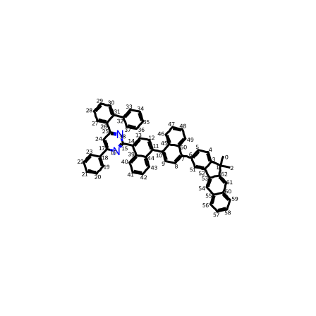 CC1(C)c2ccc(-c3ccc(-c4ccc(-c5nc(-c6ccccc6)cc(-c6ccccc6-c6ccccc6)n5)c5ccccc45)c4ccccc34)cc2-c2cc3ccccc3cc21